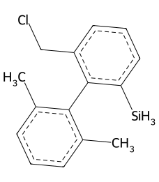 Cc1cccc(C)c1-c1c([SiH3])cccc1CCl